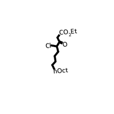 CCCCCCCCCCCCC(Cl)C(=O)CC(=O)OCC